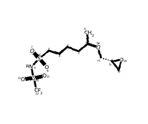 CC(CCCCS(=O)(=O)NS(=O)(=O)C(F)(F)F)OC[C@H]1CO1